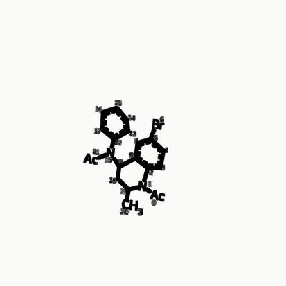 CC(=O)N1c2ccc(Br)cc2C(N(C(C)=O)c2ccccc2)CC1C